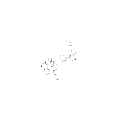 Cc1ccc2ccccc2c1S(=O)(=O)N(Cc1ccc(-c2cccc(S(=O)(=O)Cc3cc(O)no3)c2)cc1)Cc1ccc(C(F)(F)F)o1